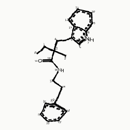 [CH2]CC(C)(Cc1c[nH]c2ccccc12)C(=O)NCCc1ccccc1